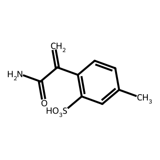 C=C(C(N)=O)c1ccc(C)cc1S(=O)(=O)O